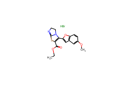 Br.CCOC(=O)C1=C(c2cc3cc(OC)ccc3o2)N2CCN=C2S1